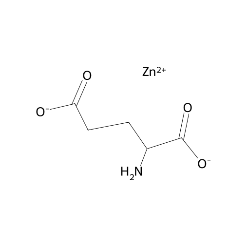 NC(CCC(=O)[O-])C(=O)[O-].[Zn+2]